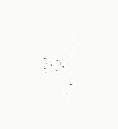 CCCCCCCCCCCCCCCCCC(=O)OCC(O)CO.O=C(O)CC(O)(CC(=O)O)C(=O)O.O=C(O)CC(O)(CC(=O)O)C(=O)O